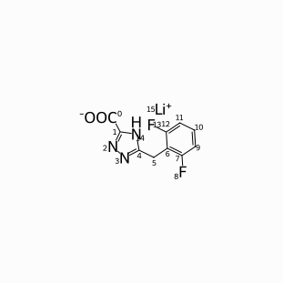 O=C([O-])c1nnc(Cc2c(F)cccc2F)[nH]1.[Li+]